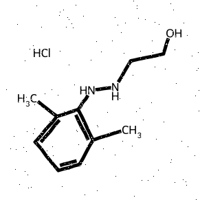 Cc1cccc(C)c1NNCCO.Cl